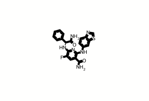 NC(=O)c1cc(F)c(N[C@@H](C(N)=O)c2ccccc2)nc1Nc1ccc2ncsc2c1